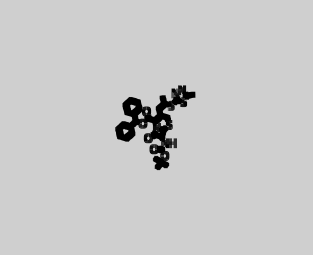 CC(=CC1=C(C(=O)OC(c2ccccc2)c2ccccc2)N2C(=O)C(NC(=O)OC(C)(C)C)C2SC1)Sc1nnc(C)s1